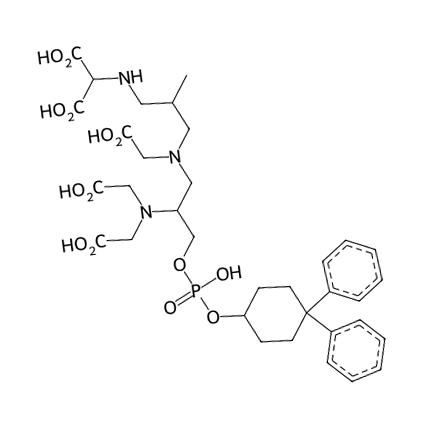 CC(CNC(C(=O)O)C(=O)O)CN(CC(=O)O)CC(COP(=O)(O)OC1CCC(c2ccccc2)(c2ccccc2)CC1)N(CC(=O)O)CC(=O)O